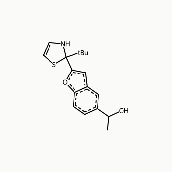 CC(O)c1ccc2oc(C3(C(C)(C)C)NC=CS3)cc2c1